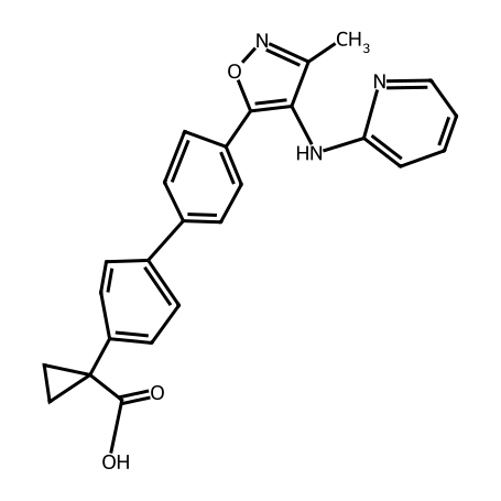 Cc1noc(-c2ccc(-c3ccc(C4(C(=O)O)CC4)cc3)cc2)c1Nc1ccccn1